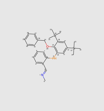 C/N=C/c1ccccc1Pc1cc([Si](C)(C)C)cc([Si](C)(C)C)c1OCc1ccccc1